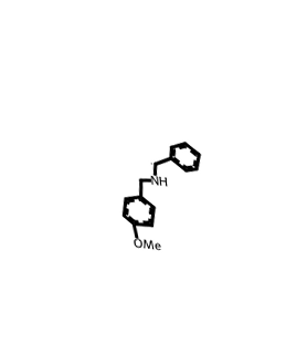 COc1ccc(CN[CH]c2ccccc2)cc1